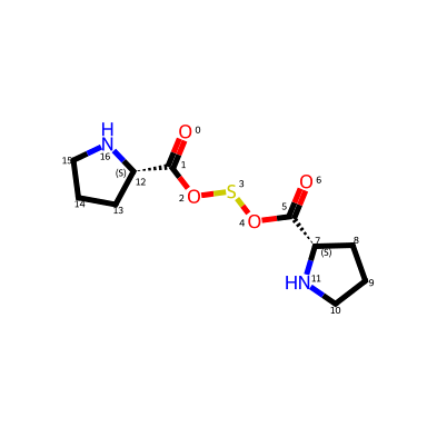 O=C(OSOC(=O)[C@@H]1CCCN1)[C@@H]1CCCN1